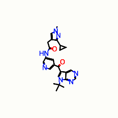 Cn1cc(CC(=O)Nc2cncc(C(=O)c3cn(C(C)(C)C)c4ncncc34)c2)c(C2CC2)n1